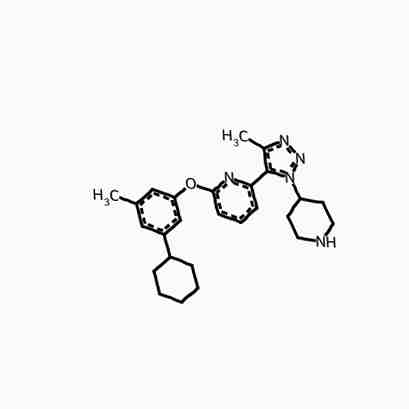 Cc1cc(Oc2cccc(-c3c(C)nnn3C3CCNCC3)n2)cc(C2CCCCC2)c1